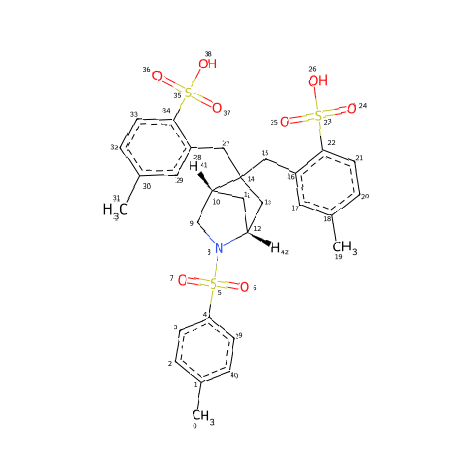 Cc1ccc(S(=O)(=O)N2C[C@H]3C[C@@H]2CC3(Cc2cc(C)ccc2S(=O)(=O)O)Cc2cc(C)ccc2S(=O)(=O)O)cc1